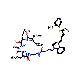 C=C(C=CC=C1C=CN(CCCC(=O)NCCNC(=O)[C@@H](CC(=O)O)NC(=O)[C@H](NC(=O)[C@@H](CCC(=O)O)NC(=O)[C@@H](CC(=O)O)NC(C)=O)C(C)C)c2ccccc21)Sc1ccccc1C